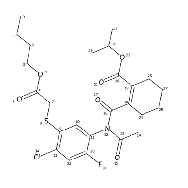 CCCCOC(=O)CSc1cc(N(C(C)=O)C(=O)C2=C(C(=O)OC(C)C)CCCC2)c(F)cc1Cl